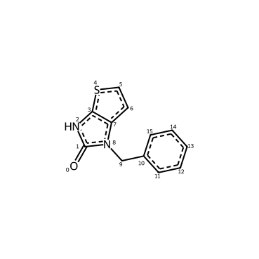 O=c1[nH]c2sccc2n1Cc1ccccc1